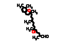 C/C(=C\CCC1(C)CCC2=C(O1)C(C)C(C)C=C2)CCCC(C)(O)CCCC(C)C=O